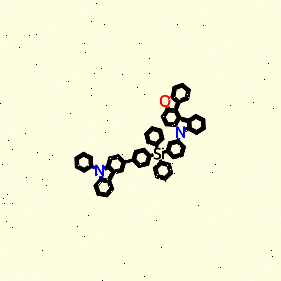 c1ccc(-n2c3ccccc3c3cc(-c4ccc([Si](c5ccccc5)(c5ccccc5)c5cccc(-n6c7ccccc7c7c8c(ccc76)oc6ccccc68)c5)cc4)ccc32)cc1